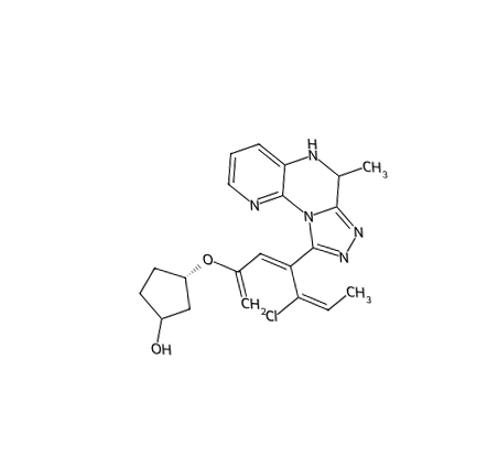 C=C(/C=C(\C(Cl)=C/C)c1nnc2n1-c1ncccc1NC2C)O[C@H]1CCC(O)C1